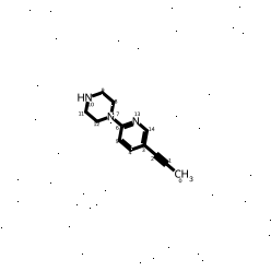 CC#Cc1ccc(N2CCNCC2)nc1